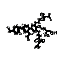 C=C(C)C(=O)OCCCc1cc(-c2ccc(-c3ccc(CC)cc3)cc2CCC)cc(CCCOC(=O)C(=C)C)c1OCCC(CO)CO